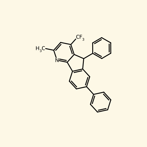 Cc1cc(C(F)(F)F)c2c(n1)-c1ccc(-c3ccccc3)cc1C2c1ccccc1